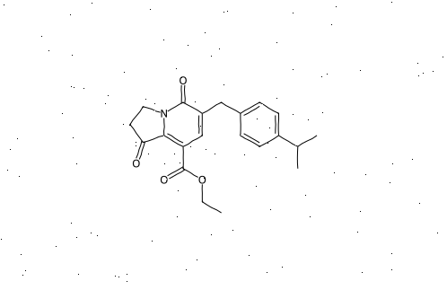 CCOC(=O)c1cc(Cc2ccc(C(C)C)cc2)c(=O)n2c1C(=O)CC2